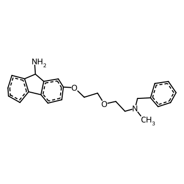 CN(CCOCCOc1ccc2c(c1)C(N)c1ccccc1-2)Cc1ccccc1